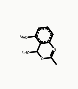 COc1cccc2c1C(C=O)OC(C)=N2